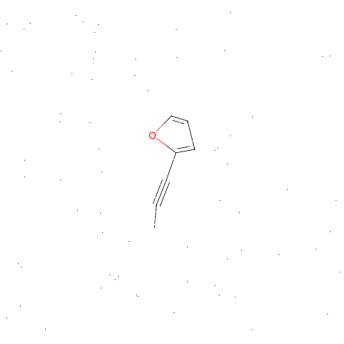 CC#Cc1ccco1